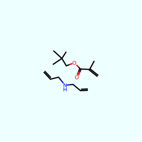 C=C(C)C(=O)OCC(C)(C)C.C=CCNCC=C